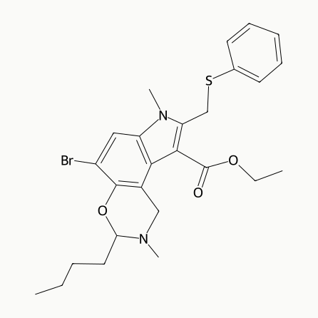 CCCCC1Oc2c(Br)cc3c(c2CN1C)c(C(=O)OCC)c(CSc1ccccc1)n3C